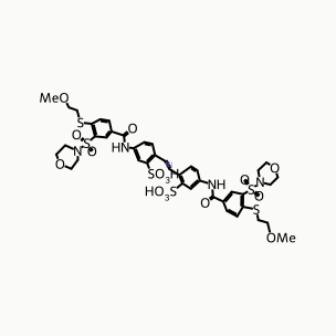 COCCSc1ccc(C(=O)Nc2ccc(/C=C/c3ccc(NC(=O)c4ccc(SCCOC)c(S(=O)(=O)N5CCOCC5)c4)cc3S(=O)(=O)O)c(S(=O)(=O)O)c2)cc1S(=O)(=O)N1CCOCC1